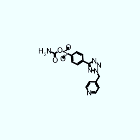 NC(=O)OS(=O)(=O)c1ccc(-c2nnn(Cc3ccncc3)n2)cc1